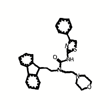 O=C(Nc1nc(-c2ccccc2)cs1)N(CCC1c2ccccc2-c2ccccc21)CCN1CCOCC1